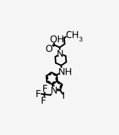 CCCC(C(=O)O)N1CCC(Nc2cccc3c2cc(I)n3CC(F)(F)F)CC1